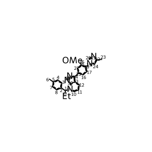 CCC(c1ccc(C)cc1)n1cccc2c(-c3ccc(-n4cnc(C)c4)c(OC)c3)nnc1-2